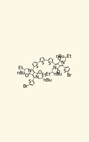 CCCCC(CC)CN1C(=O)C2=C(c3ccc(-c4ccc(-c5ccc(C6=C7C(=O)N(CC(CC)CCCC)C(c8ccc(Br)s8)=C7C(=O)N6CC(CC)CCCC)s5)s4)s3)N(CC(CC)CCCC)C(=O)C2=C1c1ccc(Br)s1